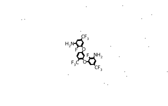 Nc1cc(C(F)(F)F)cc(Oc2ccc(C(F)(F)F)c(Oc3cc(C(F)(F)F)cc(N)c3F)c2)c1F